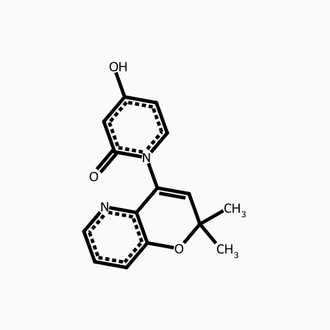 CC1(C)C=C(n2ccc(O)cc2=O)c2ncccc2O1